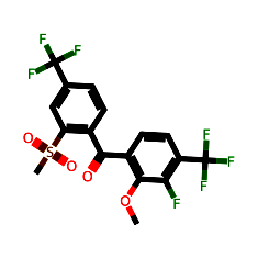 COc1c(C(=O)c2ccc(C(F)(F)F)cc2S(C)(=O)=O)ccc(C(F)(F)F)c1F